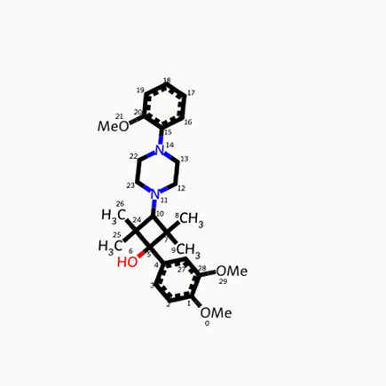 COc1ccc(C2(O)C(C)(C)C(N3CCN(c4ccccc4OC)CC3)C2(C)C)cc1OC